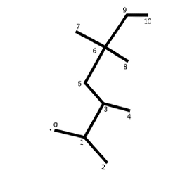 [CH2]C(C)C(C)CC(C)(C)CC